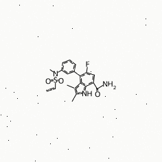 C=CS(=O)(=O)N(C)c1cccc(-c2c(F)cc(C(N)=O)c3[nH]c(C)c(C)c23)c1